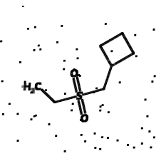 [CH2]CS(=O)(=O)CC1CCC1